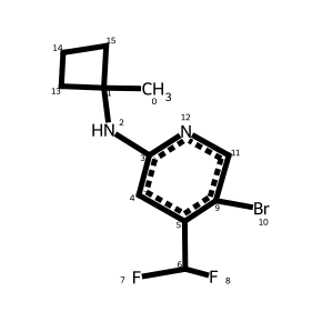 CC1(Nc2cc(C(F)F)c(Br)cn2)CCC1